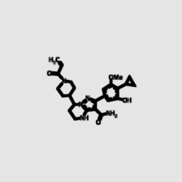 C=CC(=O)N1CCC(C2CCNc3c(C(N)=O)c(-c4cc(O)c(C5CC5)c(OC)c4)nn32)CC1